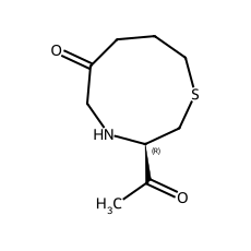 CC(=O)[C@@H]1CSCCCC(=O)CN1